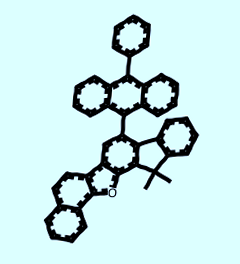 CC1(C)c2ccccc2-c2c(-c3c4ccccc4c(-c4ccccc4)c4ccccc34)cc3c(oc4c5ccccc5ccc34)c21